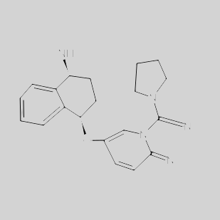 N=C(N1CCCC1)n1cc(O[C@@H]2CC[C@H](N)c3ccccc32)ccc1=N